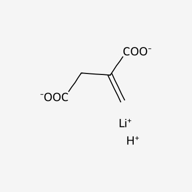 C=C(CC(=O)[O-])C(=O)[O-].[H+].[Li+]